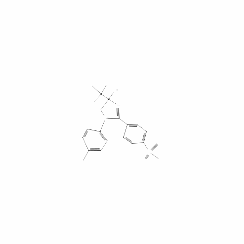 Cc1ccc(N2CC(O)(C(F)(F)F)N=C2c2ccc(S(C)(=O)=O)cc2)cc1